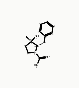 C[C@]1(O)CCN(C(=O)O)[C@H]1Cc1ccccc1